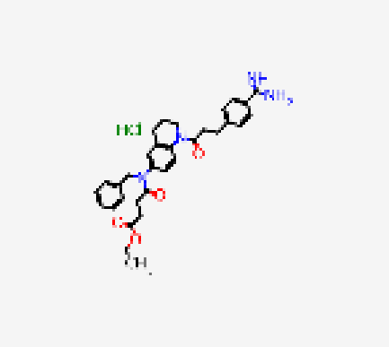 CCOC(=O)CCC(=O)N(Cc1ccccc1)c1ccc2c(c1)CCCN2C(=O)CCc1ccc(C(=N)N)cc1.Cl